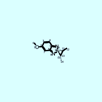 COc1ccc2c(c1)=N[N+]1(N=2)C(C)[C@@H]1C